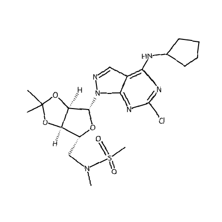 CN(C[C@H]1O[C@@H](n2ncc3c(NC4CCCC4)nc(Cl)nc32)[C@@H]2OC(C)(C)O[C@@H]21)S(C)(=O)=O